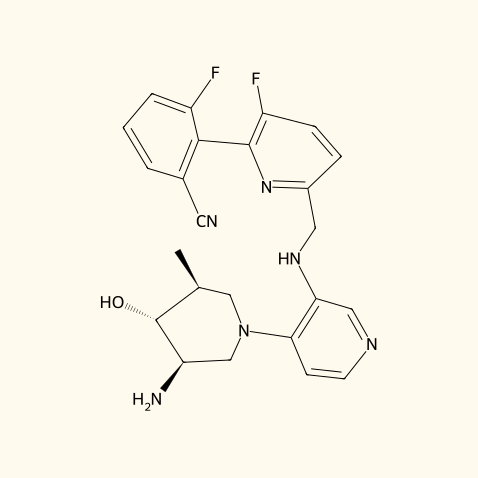 C[C@H]1CN(c2ccncc2NCc2ccc(F)c(-c3c(F)cccc3C#N)n2)C[C@@H](N)[C@@H]1O